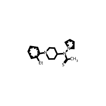 CCc1ccccc1N1CCC(N(C(C)=S)n2cccc2)CC1